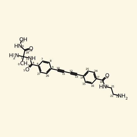 CC(N)(NC(=O)c1ccc(C#CC#Cc2ccc(C(=O)NCCN)cc2)cc1)C(=O)NO